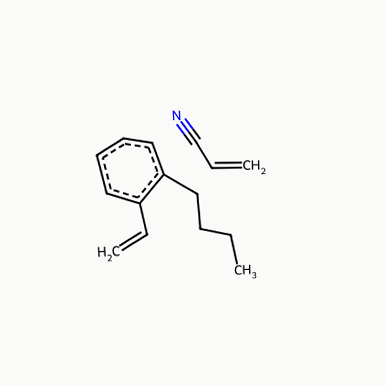 C=CC#N.C=Cc1ccccc1CCCC